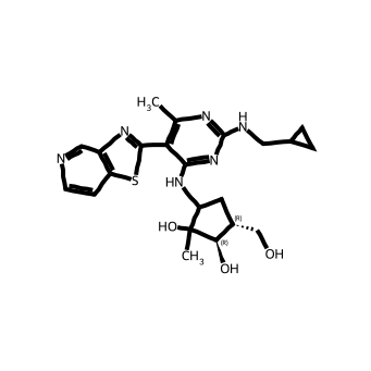 Cc1nc(NCC2CC2)nc(NC2C[C@H](CO)[C@@H](O)C2(C)O)c1-c1nc2cnccc2s1